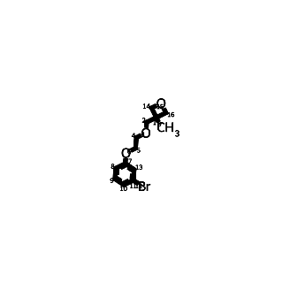 CC1(COCCOc2cccc(Br)c2)COC1